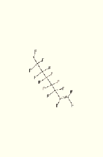 FCC(F)(F)C(F)(F)C(F)(F)C(F)(F)C(F)(F)C(F)=C(F)F